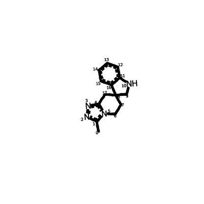 Cc1nnc2n1CCC1(CNc3ccccc31)C2